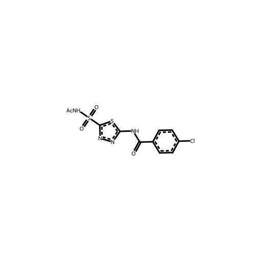 CC(=O)NS(=O)(=O)c1nnc(NC(=O)c2ccc(Cl)cc2)s1